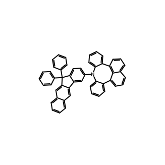 c1ccc(C2(c3ccccc3)c3ccc(N4c5ccccc5-c5cccc6cccc(c56)-c5ccccc54)cc3-c3cc4ccccc4cc32)cc1